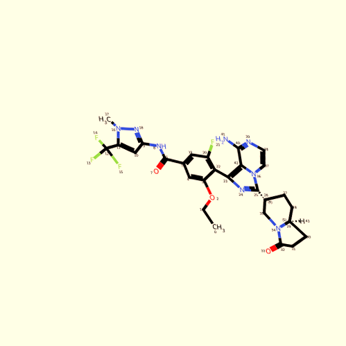 CCOc1cc(C(=O)Nc2cc(C(F)(F)F)n(C)n2)cc(F)c1-c1nc([C@@H]2CC[C@H]3CCC(=O)N3C2)n2ccnc(N)c12